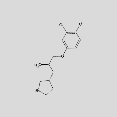 C[C@@H](COc1ccc(Cl)c(Cl)c1)C[C@@H]1CCNC1